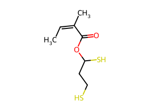 CC=C(C)C(=O)OC(S)CCS